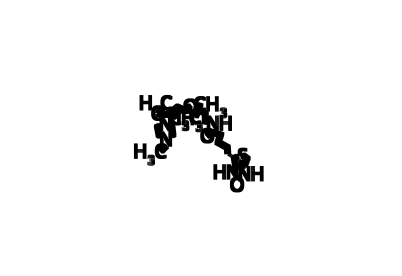 CCN1CCN(C(=O)C(C)(C)CCOC(C)(C)CCNC(=O)CCCC[C@@H]2SCC3NC(=O)NC32)CC1